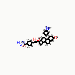 CN(C)c1ccc([C@H]2C[C@@]3(C)C(CC[C@@]3(O)C#Cc3ccc(C(N)=O)cc3)C3CCC4=CC(=O)CCC4=C32)cc1